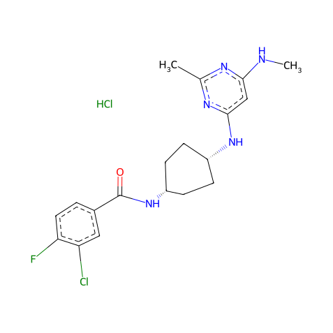 CNc1cc(N[C@H]2CC[C@@H](NC(=O)c3ccc(F)c(Cl)c3)CC2)nc(C)n1.Cl